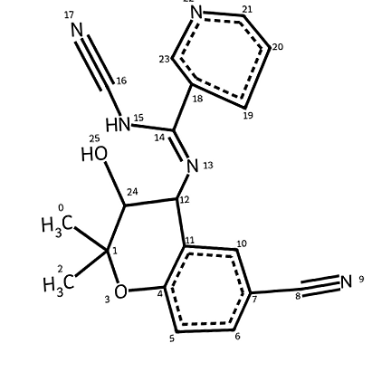 CC1(C)Oc2ccc(C#N)cc2C(N=C(NC#N)c2cccnc2)C1O